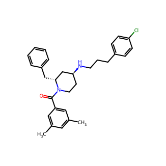 Cc1cc(C)cc(C(=O)N2CC[C@H](NCCCc3ccc(Cl)cc3)C[C@H]2Cc2ccccc2)c1